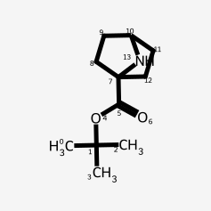 CC(C)(C)OC(=O)C12CCC(CC1)N2